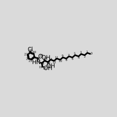 CCCCCCCCCCCCCCC(O)C(O)C(CO)NC(=O)c1cccc(Cl)c1